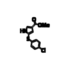 COC(=O)c1c[nH]c(Sc2ccc(Cl)cc2)c1